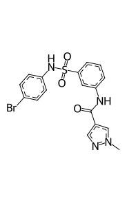 Cn1cc(C(=O)Nc2cccc(S(=O)(=O)Nc3ccc(Br)cc3)c2)cn1